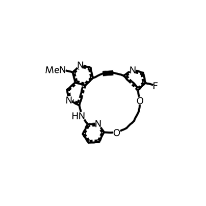 CNc1ncc2c3cc(ncc13)Nc1cccc(n1)OCCCOc1cc(ncc1F)C#C2